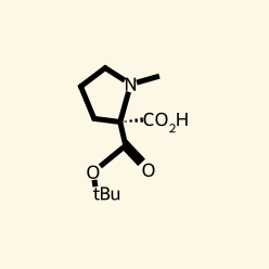 CN1CCC[C@]1(C(=O)O)C(=O)OC(C)(C)C